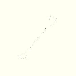 CC1C(OC(=O)CCCCCCCCC(=O)OC2CC(C)(C)NC(C)(C)C2)CC(C)(C)NC1(C)C